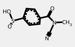 CN(C#N)C(=O)c1ccc(S(=O)O)cc1